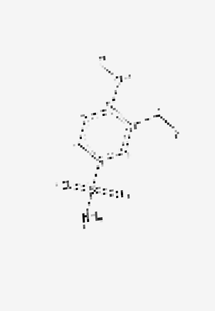 CCc1cc(S(N)(=O)=O)ccc1OC